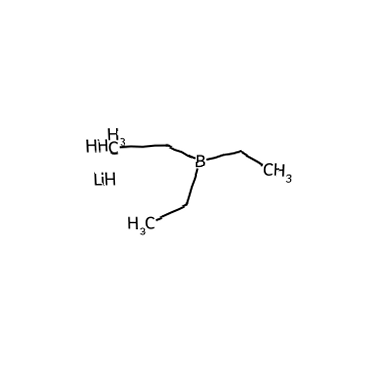 CCB(CC)CC.[HH].[LiH]